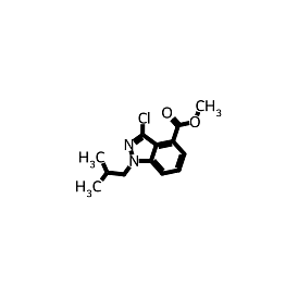 COC(=O)c1cccc2c1c(Cl)nn2CC(C)C